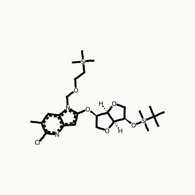 Cc1cc2c(cc(O[C@@H]3CO[C@H]4[C@@H]3OC[C@H]4O[Si](C)(C)C(C)(C)C)n2COCC[Si](C)(C)C)nc1Cl